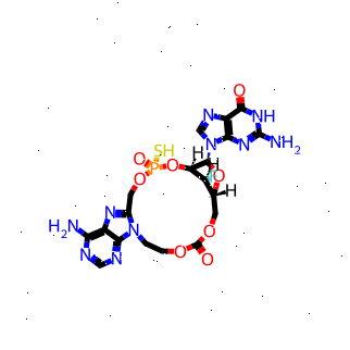 Nc1nc2c(ncn2[C@@H]2O[C@@H]3COC(=O)OCCn4c(nc5c(N)ncnc54)COP(=O)(S)O[C@@H]2[C@H]3F)c(=O)[nH]1